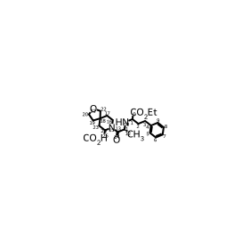 CCOC(=O)C(CCc1ccccc1)N[C@@H](C)C(=O)N1CCC2(CCOC2)CC1C(=O)O